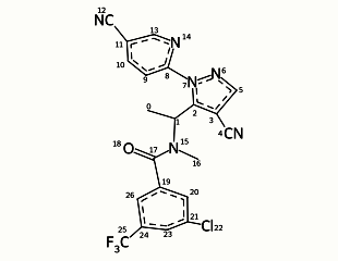 CC(c1c(C#N)cnn1-c1ccc(C#N)cn1)N(C)C(=O)c1cc(Cl)cc(C(F)(F)F)c1